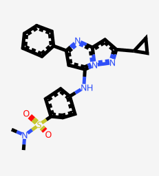 CN(C)S(=O)(=O)c1ccc(Nc2cc(-c3ccccc3)nc3cc(C4CC4)nn23)cc1